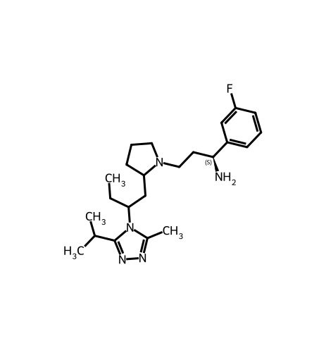 CCC(CC1CCCN1CC[C@H](N)c1cccc(F)c1)n1c(C)nnc1C(C)C